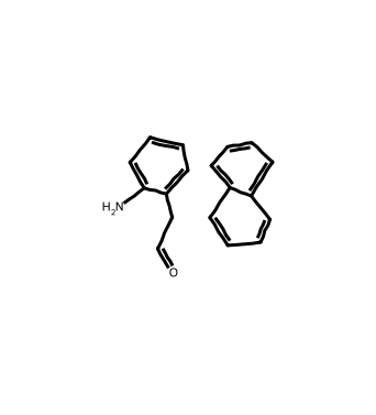 Nc1ccccc1CC=O.c1ccc2ccccc2c1